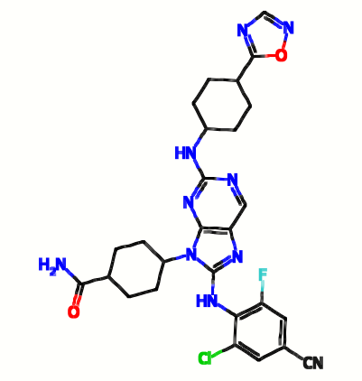 N#Cc1cc(F)c(Nc2nc3cnc(NC4CCC(c5ncno5)CC4)nc3n2C2CCC(C(N)=O)CC2)c(Cl)c1